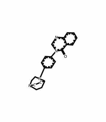 O=c1c2ccccc2ncn1-c1ccc(N2CCN3CCC2CC3)cc1